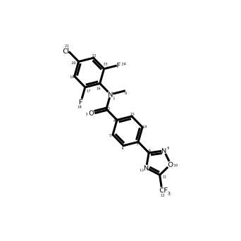 CN(C(=O)c1ccc(-c2noc(C(F)(F)F)n2)cc1)c1c(F)cc(Cl)cc1F